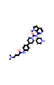 CN(C)C/C=C/C(=O)Nc1ccc(C2CCN(C(=O)N(c3nccc4ccn(C)c34)[C@H]3CCCNC3)CC2)cc1